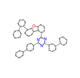 c1ccc(-c2ccc(-c3nc(-c4cccc(-c5ccccc5)c4)nc(-c4cccc5oc6c(-c7ccccc7-c7ccccc7)cccc6c45)n3)cc2)cc1